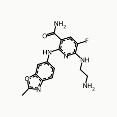 Cc1nc2ccc(Nc3nc(NCCN)c(F)cc3C(N)=O)cc2o1